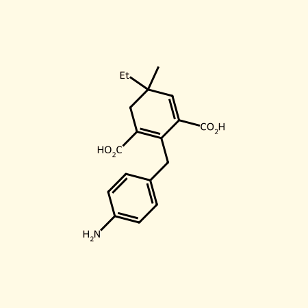 CCC1(C)C=C(C(=O)O)C(Cc2ccc(N)cc2)=C(C(=O)O)C1